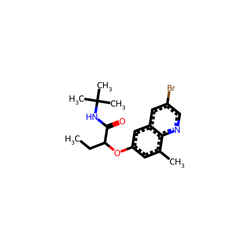 CCC(Oc1cc(C)c2ncc(Br)cc2c1)C(=O)NC(C)(C)C